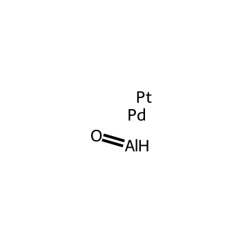 [O]=[AlH].[Pd].[Pt]